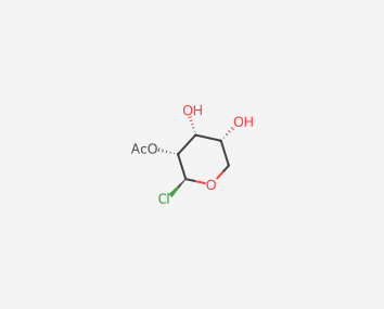 CC(=O)O[C@@H]1[C@H](O)[C@H](O)CO[C@H]1Cl